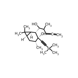 C=C=CC(C)C(O)[C@H]1[C@H]2[C@@H](C[C@@H](C)[C@]1(O)C#C[Si](C)(C)C)C2(C)C